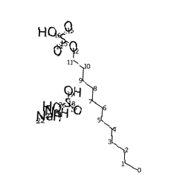 CCCCCCCCCCCCOS(=O)(=O)O.O=S(O)O.[NaH].[NaH]